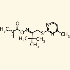 CNC(=O)O/N=C(/CSc1nccc(C)n1)C(C)(C)C